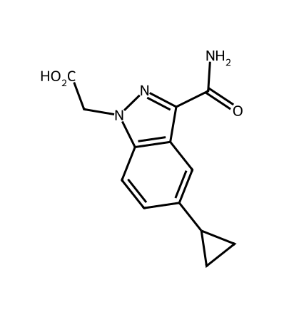 NC(=O)c1nn(CC(=O)O)c2ccc(C3CC3)cc12